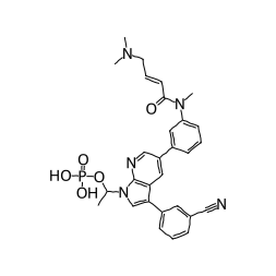 CC(OP(=O)(O)O)n1cc(-c2cccc(C#N)c2)c2cc(-c3cccc(N(C)C(=O)/C=C/CN(C)C)c3)cnc21